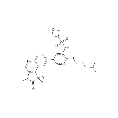 CN(C)CCCOc1ncc(-c2ccc3ncc4c(c3c2)C2(CC2)C(=O)N4C)cc1NS(=O)(=O)C1COC1